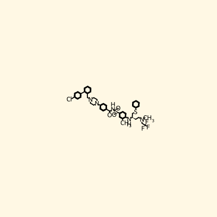 Cc1cc(S(=O)(=O)NC(=O)c2ccc(N3CCN(Cc4ccccc4-c4ccc(Cl)cc4)CC3)cc2)ccc1N[C@H](CCN(C)CC(F)(F)F)CSc1ccccc1